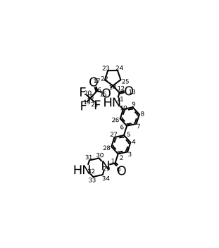 O=C(c1ccc(-c2cccc(NC(=O)C3(OC(=O)C(F)(F)F)CCCC3)c2)cc1)N1CCNCC1